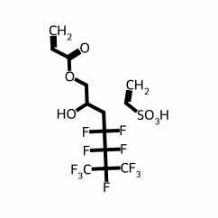 C=CC(=O)OCC(O)CC(F)(F)C(F)(F)C(F)(C(F)(F)F)C(F)(F)F.C=CS(=O)(=O)O